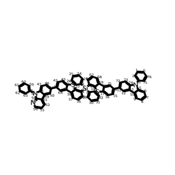 c1ccc(-n2c3ccccc3c3cc(-c4ccc5sc6c([Si](c7ccccc7)(c7ccccc7)c7cccc8c7sc7ccc(-c9ccc%10c(c9)c9cccnc9n%10-c9ccccc9)cc78)cccc6c5c4)ccc32)cc1